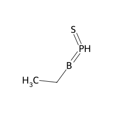 CCB=[PH]=S